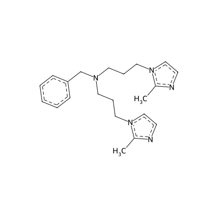 Cc1nccn1CCCN(CCCn1ccnc1C)Cc1ccccc1